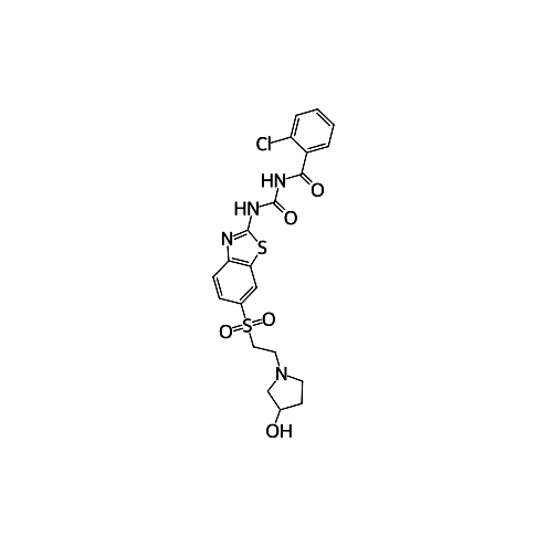 O=C(NC(=O)c1ccccc1Cl)Nc1nc2ccc(S(=O)(=O)CCN3CCC(O)C3)cc2s1